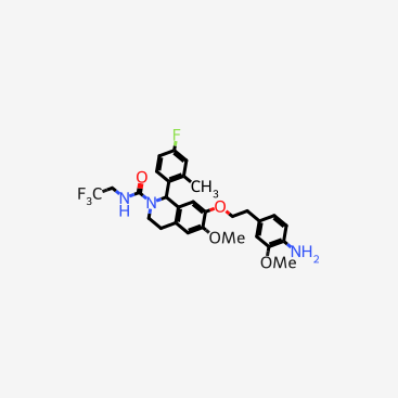 COc1cc(CCOc2cc3c(cc2OC)CCN(C(=O)NCC(F)(F)F)C3c2ccc(F)cc2C)ccc1N